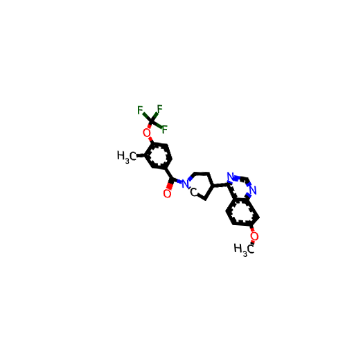 COc1ccc2c(C3CCN(C(=O)c4ccc(OC(F)(F)F)c(C)c4)CC3)ncnc2c1